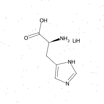 N[C@@H](Cc1cnc[nH]1)C(=O)O.[LiH]